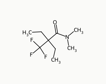 CCC(CC)(C(=O)N(C)C)C(F)(F)F